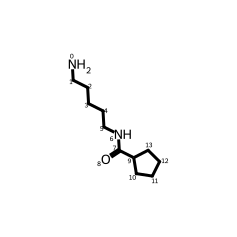 NCCCCCNC(=O)C1CCCC1